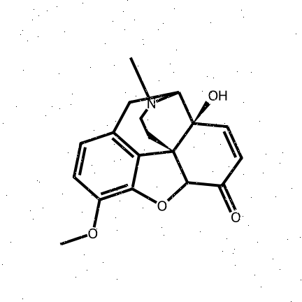 COc1ccc2c3c1OC1C(=O)C=C[C@@]4(O)C(C2)N(C)CC[C@]314